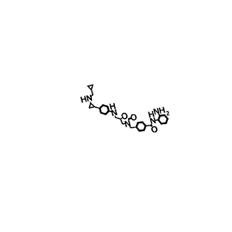 Nc1ccccc1NC(=O)c1ccc(CN2CC(CNc3ccc(C4C[C@@H]4NCC4CC4)cc3)OC2=O)cc1